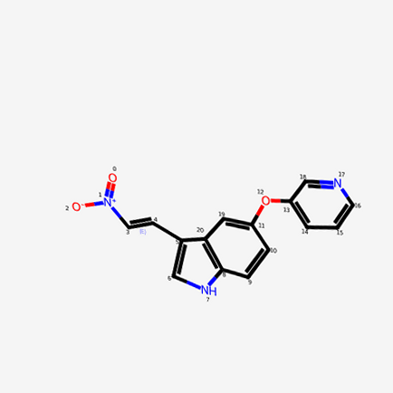 O=[N+]([O-])/C=C/c1c[nH]c2ccc(Oc3cccnc3)cc12